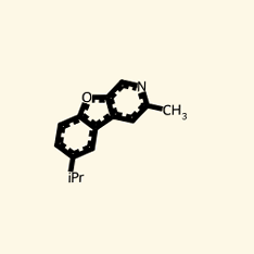 Cc1cc2c(cn1)oc1ccc(C(C)C)cc12